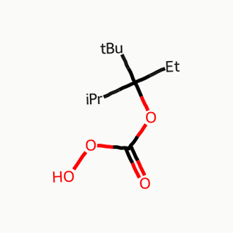 CCC(OC(=O)OO)(C(C)C)C(C)(C)C